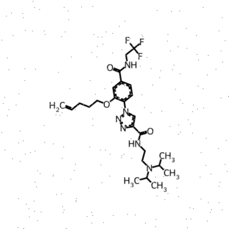 C=CCCCOc1cc(C(=O)NCC(F)(F)F)ccc1-n1cc(C(=O)NCCN(C(C)C)C(C)C)nn1